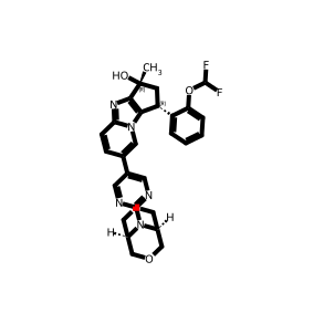 C[C@@]1(O)C[C@H](c2ccccc2OC(F)F)c2c1nc1ccc(-c3cnc(N4[C@H]5COC[C@@H]4COC5)nc3)cn21